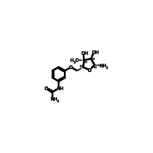 C[C@@]1(O)[C@@H](COc2cccc(NC(N)=O)c2)O[C@@H](N)[C@@H]1O